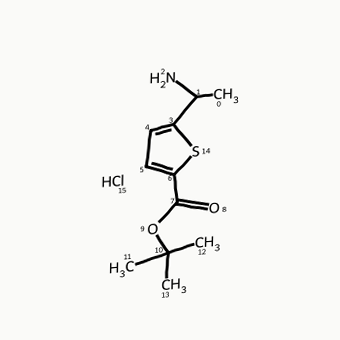 CC(N)c1ccc(C(=O)OC(C)(C)C)s1.Cl